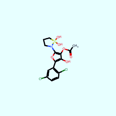 CC(=O)Oc1c(N2CCCS2(O)O)oc(-c2cc(Cl)ccc2Cl)c1O